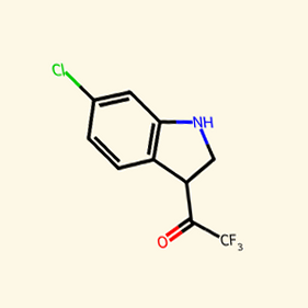 O=C(C1CNc2cc(Cl)ccc21)C(F)(F)F